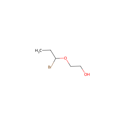 CCC(Br)OCCO